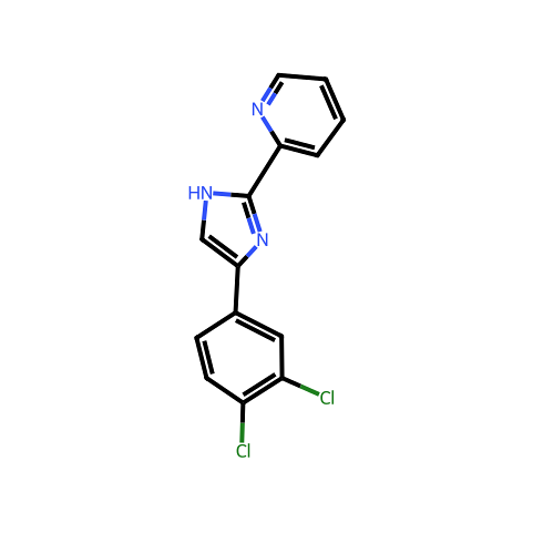 Clc1ccc(-c2c[nH]c(-c3ccccn3)n2)cc1Cl